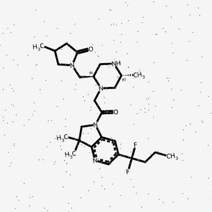 CCCC(F)(F)c1cnc2c(c1)N(C(=O)CN1C[C@@H](C)NC[C@@H]1CN1CC(C)CC1=O)CC2(C)C